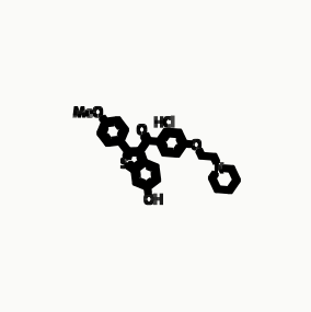 COc1ccc(-c2sc3cc(O)ccc3c2C(=O)c2ccc(OCCN3CCCCC3)cc2)cc1.Cl